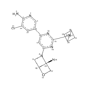 Nc1ncc(-c2cc(N3CC4OC[C@H]43)nc(N3CC4CC3C4)n2)cc1Cl